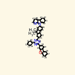 CC1(C)c2cc(-c3nc(-c4ccccc4)nc(-c4ccc5c(c4)oc4ccccc45)n3)ccc2-c2ccc(-n3c4ccccc4c4cccnc43)cc21